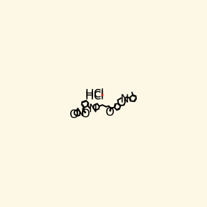 Cc1ccccc1CN1CCc2ccc(C(=O)CCCC3CCN(Cc4ccccc4C(=O)N4CCOCC4)CC3)cc2CC1.Cl.Cl